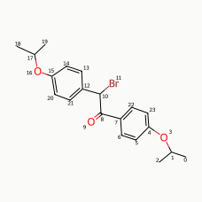 CC(C)Oc1ccc(C(=O)C(Br)c2ccc(OC(C)C)cc2)cc1